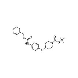 CC(C)(C)OC(=O)N1CCC(Oc2ccc(NC(=O)OCc3ccccc3)cc2)CC1